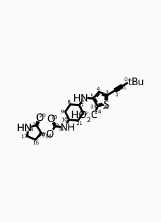 CC(C)(C)C#Cc1cc(NC2CCC(NC(=O)O[C@@H]3CCNC3=O)CC2)c(C(=O)O)s1